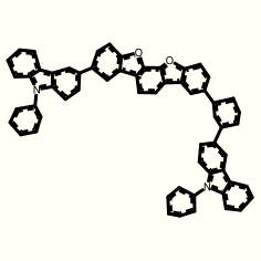 c1ccc(-n2c3ccccc3c3cc(-c4cccc(-c5ccc6oc7c(ccc8c9cc(-c%10ccc%11c(c%10)c%10ccccc%10n%11-c%10ccccc%10)ccc9oc87)c6c5)c4)ccc32)cc1